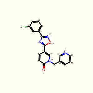 O=c1ccc(-c2nc(-c3cccc(F)c3)no2)cn1Cc1cccnc1